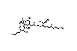 CCCCCCCCCCCC[C@H]1O[C@H](CO)C([C@@]2(O)O[C@H](CNCCCN(CCCNCCCN)/[N+](O)=N/O)C[C@H](O)[C@H]2O)[C@H](O)[C@H]1O